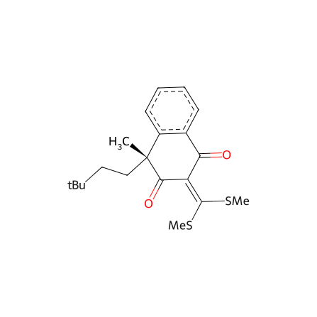 CSC(SC)=C1C(=O)c2ccccc2[C@@](C)(CCC(C)(C)C)C1=O